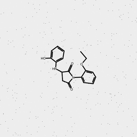 CCOc1ccccc1N1C(=O)CC(Nc2ccccc2O)C1=O